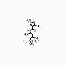 Cc1nn(C)cc1C(=O)NC(C)CC(C)C[Si](C)(C)C